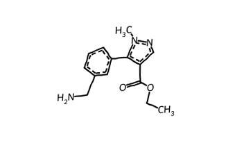 CCOC(=O)c1cnn(C)c1-c1cccc(CN)c1